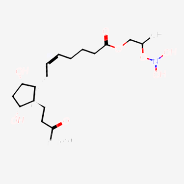 CCCCCCCC(=O)CC[C@@H]1[C@@H](C/C=C\CCCC(=O)OCC(C)ON(O)O)[C@@H](O)C[C@H]1O